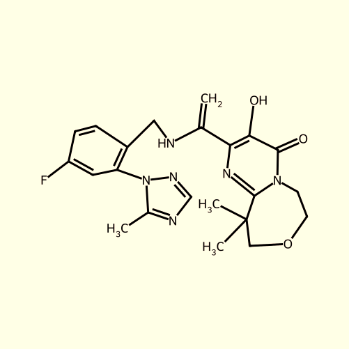 C=C(NCc1ccc(F)cc1-n1ncnc1C)c1nc2n(c(=O)c1O)CCOCC2(C)C